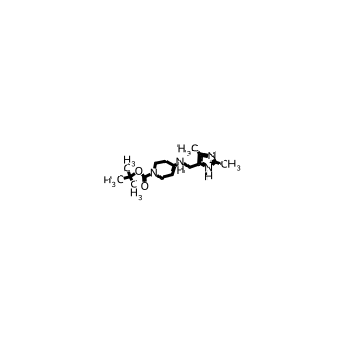 Cc1nc(C)c(CNC2CCN(C(=O)OC(C)(C)C)CC2)[nH]1